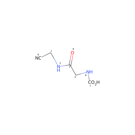 N#CCNC(=O)CNC(=O)O